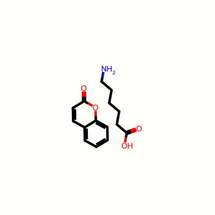 NCCCCCC(=O)O.O=c1ccc2ccccc2o1